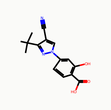 CC(C)(C)c1nn(-c2ccc(C(=O)O)c(O)c2)cc1C#N